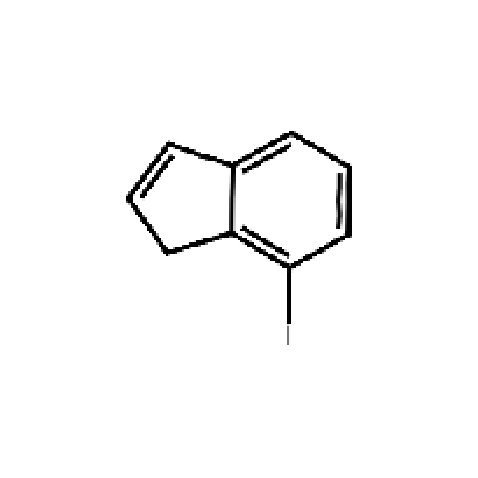 Ic1cccc2c1CC=C2